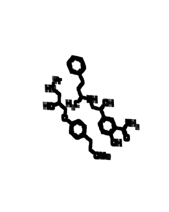 CC(CCc1ccccc1)NCC(O)c1ccc(O)c(C(N)=O)c1.COCCc1ccc(OCC(O)CNC(C)C)cc1